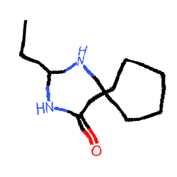 CCC1NC(=O)C2(CCCC2)N1